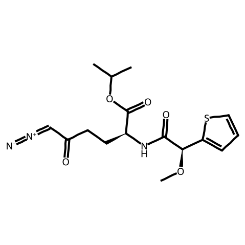 CO[C@@H](C(=O)N[C@@H](CCC(=O)C=[N+]=[N-])C(=O)OC(C)C)c1cccs1